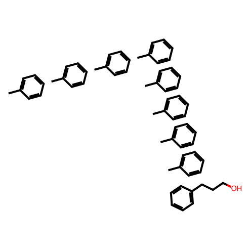 Cc1ccccc1.Cc1ccccc1.Cc1ccccc1.Cc1ccccc1.Cc1ccccc1.Cc1ccccc1.Cc1ccccc1.Cc1ccccc1.OCCCc1ccccc1